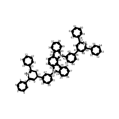 C1=C(c2ccccc2)N=C(c2ccccc2)CC1c1cccc(-n2c3ccccc3c3c2ccc2c4ccccc4n(-c4cccc(-c5cc(-c6ccccc6)nc(-c6ccccc6)c5)c4)c23)c1